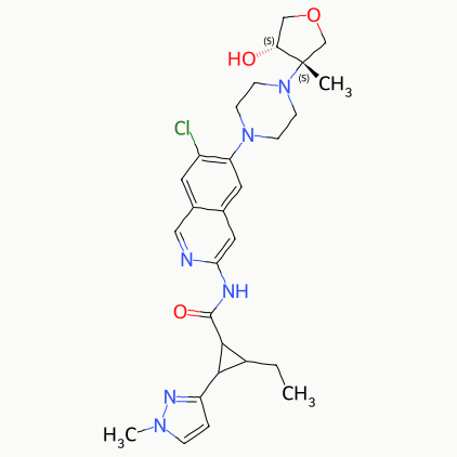 CCC1C(C(=O)Nc2cc3cc(N4CCN([C@@]5(C)COC[C@H]5O)CC4)c(Cl)cc3cn2)C1c1ccn(C)n1